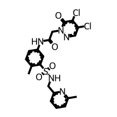 Cc1cccc(CNS(=O)(=O)c2cc(NC(=O)Cn3ncc(Cl)c(Cl)c3=O)ccc2C)n1